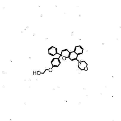 OCCOc1ccc(C2(c3ccccc3)C=Cc3c(cc(N4CCOCC4)c4ccccc34)O2)cc1